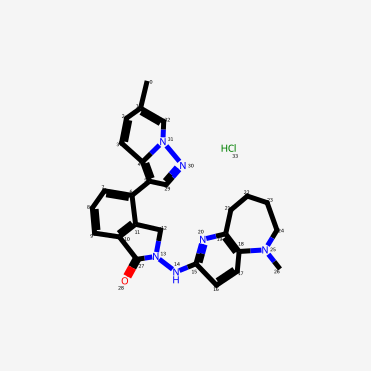 Cc1ccc2c(-c3cccc4c3CN(Nc3ccc5c(n3)CCCCN5C)C4=O)cnn2c1.Cl